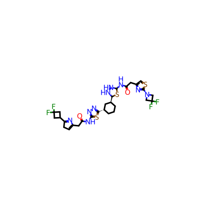 O=C(CC1=CCC(C2CC(F)(F)C2)=N1)Nc1nnc([C@H]2CCC[C@H](C3NNC(NC(=O)Cc4csc(N5CC(F)(F)C5)n4)S3)C2)s1